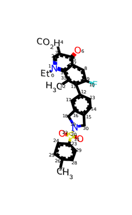 CCn1cc(C(=O)O)c(=O)c2cc(F)c(-c3ccc4c(c3)CN(S(=O)(=O)c3ccc(C)cc3)C4)c(C)c21